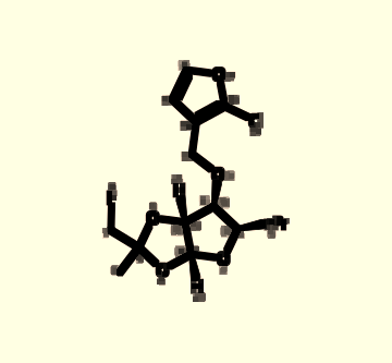 CCC[C@H]1O[C@@H]2OC(C)(CF)O[C@@H]2[C@H]1OCc1ccoc1Cl